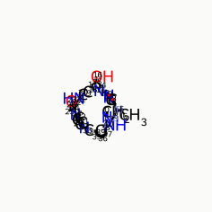 C=N/C1=C\C(=C/C)c2cnc(nc2)N2CC(O)CC2CCNC(=O)C2(CC2)N2CCN(CC2)Cc2cccc(c2)N1